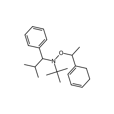 CC(ON(C(c1ccccc1)C(C)C)C(C)(C)C)C1=CC=CCC1